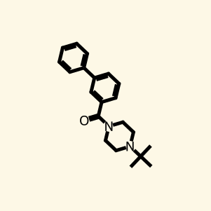 CC(C)(C)N1CCN(C(=O)c2cccc(-c3ccccc3)c2)CC1